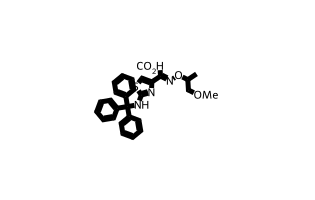 COCC(C)ON=C(C(=O)O)c1csc(NC(c2ccccc2)(c2ccccc2)c2ccccc2)n1